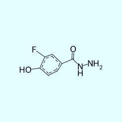 NNC(=O)c1ccc(O)c(F)c1